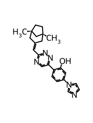 C[C@]12CC[C@](C)(C/C(=C\c3ncc(-c4ccc(-n5ccnc5)cc4O)nn3)C1)C2